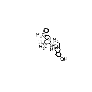 C=C(N[C@H](CN1CCC(C)(c2ccccc2)CC1)C(C)C)[C@H]1Cc2ccc(O)cc2CN1I